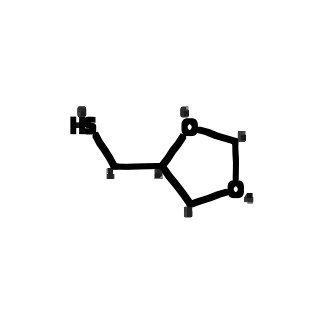 SCC1COCO1